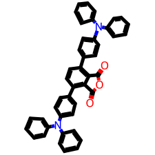 O=C1OC(=O)c2c(-c3ccc(N(c4ccccc4)c4ccccc4)cc3)ccc(-c3ccc(N(c4ccccc4)c4ccccc4)cc3)c21